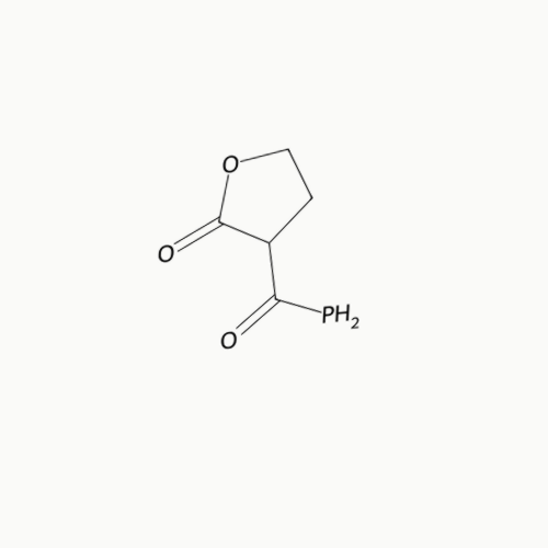 O=C(P)C1CCOC1=O